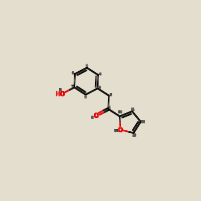 O=C(Cc1cccc(O)c1)c1ccco1